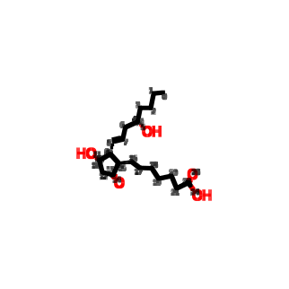 CCCC[C@H](O)CC=C[C@H]1[C@H](O)CC(=O)[C@@H]1CCCCCCC(=O)O